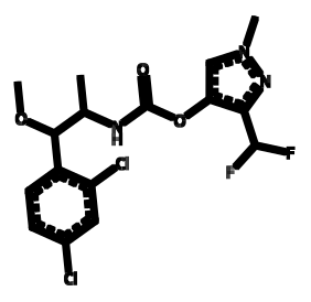 COC(c1ccc(Cl)cc1Cl)C(C)NC(=O)Oc1cn(C)nc1C(F)F